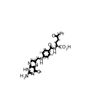 CC(C)C(=O)CC[C@H](NC(=O)c1ccc(NCc2cnc3[nH]c(N)nc(=O)c3n2)cc1)C(=O)O